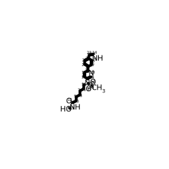 CS(=O)(=O)N(CCCCCCC(=O)NO)c1ccc(-c2ccc3cc[nH]c3c2)nc1